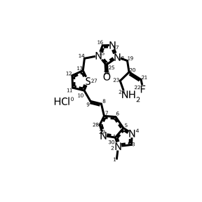 Cl.Cn1cnc2cc(/C=C/c3ccc(Cn4cnn(C/C(=C/F)CN)c4=O)s3)cnc21